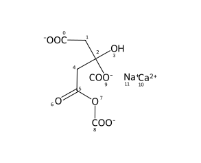 O=C([O-])CC(O)(CC(=O)OC(=O)[O-])C(=O)[O-].[Ca+2].[Na+]